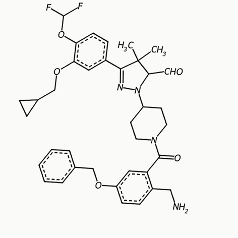 CC1(C)C(c2ccc(OC(F)F)c(OCC3CC3)c2)=NN(C2CCN(C(=O)c3cc(OCc4ccccc4)ccc3CN)CC2)C1C=O